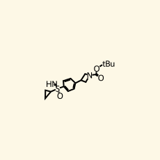 CC(C)(C)OC(=O)N1CC(c2ccc(S(=N)(=O)C3CC3)cc2)C1